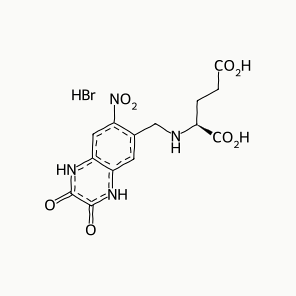 Br.O=C(O)CC[C@H](NCc1cc2[nH]c(=O)c(=O)[nH]c2cc1[N+](=O)[O-])C(=O)O